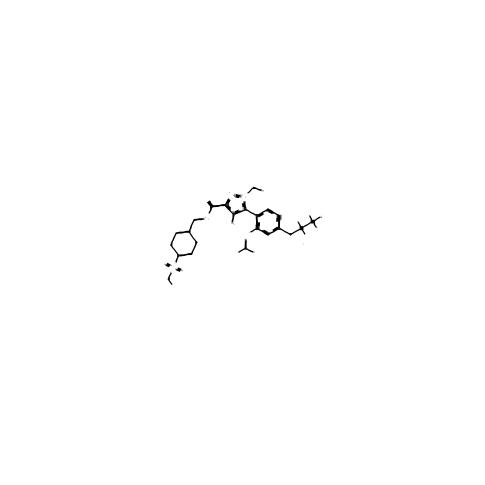 CCn1nc(C(=O)NCC2CCC(S(=O)(=O)CC)CC2)c(Cl)c1-c1ccc(CC(C)(C)C(F)(F)F)cc1OC(F)F